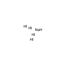 I.I.I.I.[NaH]